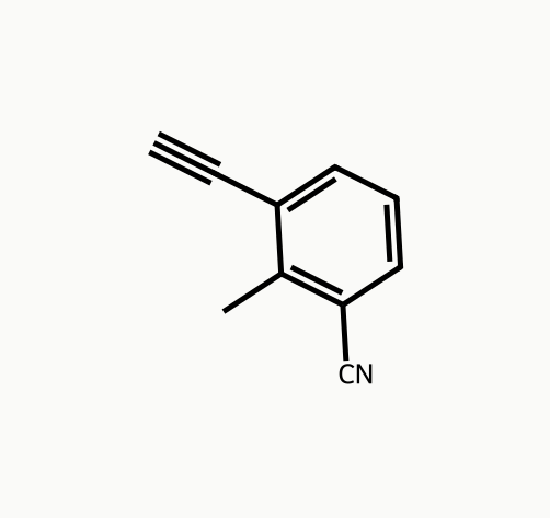 C#Cc1cccc(C#N)c1C